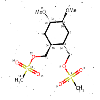 CO[C@H]1C[C@H](COS(C)(=O)=O)[C@@H](COS(C)(=O)=O)C[C@@H]1OC